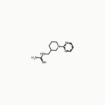 N=C(N)NCC1CCCN(c2ncccn2)C1